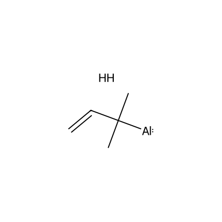 C=C[C](C)(C)[Al].[HH]